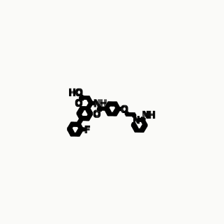 N=c1ccccn1CCOc1ccc(C(=O)NC(CC(=O)O)c2ccc(-c3ccccc3F)cc2)cc1